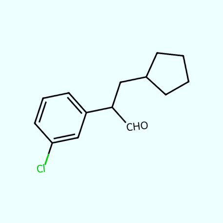 O=CC(CC1CCCC1)c1cccc(Cl)c1